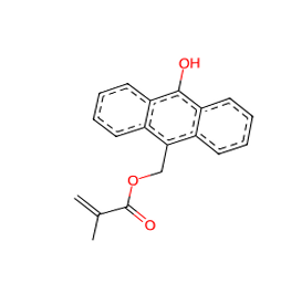 C=C(C)C(=O)OCc1c2ccccc2c(O)c2ccccc12